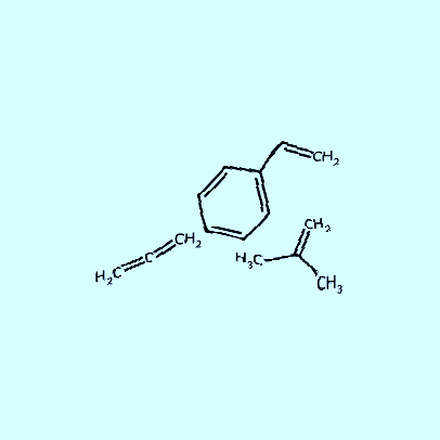 C=C(C)C.C=C=C.C=Cc1ccccc1